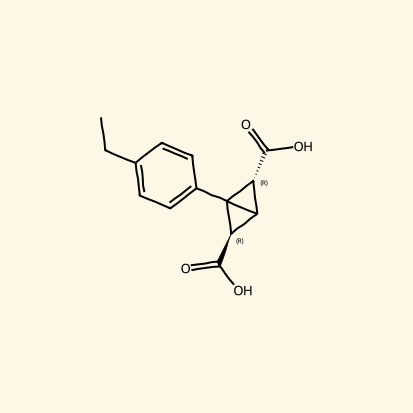 CCc1ccc(C23C([C@H]2C(=O)O)[C@H]3C(=O)O)cc1